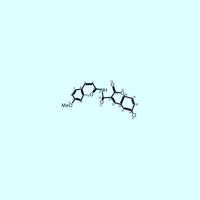 COc1ccc(/C=C\C(=O)NC(=O)c2cc3cc(Cl)ccc3oc2=O)cc1